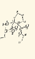 CCOC(=O)C1(O)CCCCC1(O)C(=O)OCC